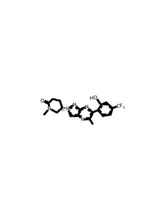 Cc1nc2cn([C@H]3CCC(=O)N(C)C3)nc2nc1-c1ccc(C(F)(F)F)cc1O